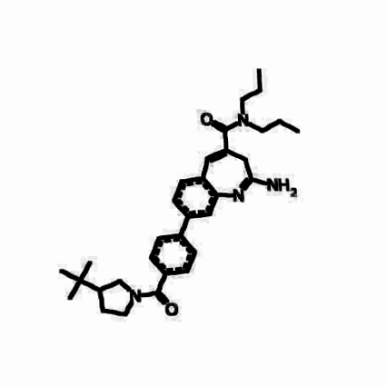 CCCN(CCC)C(=O)C1=Cc2ccc(-c3ccc(C(=O)N4CCC(C(C)(C)C)C4)cc3)cc2N=C(N)C1